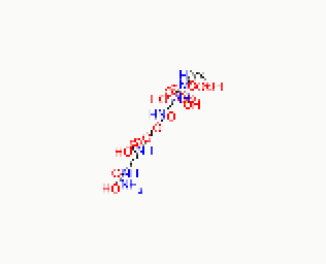 CC(C)(CC(=O)O)CC(C)(C)CC(=O)NC(CS(=O)(=O)O)C(=O)NC(CCC(=O)NCCOCCOCC(=O)NC(CCCCNC(=O)C(N)CO)C(=O)O)C(=O)O